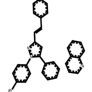 CC(C)c1ccc(-n2nc(C=Cc3ccccc3)cc2-c2ccccc2)cc1.c1ccc2ncccc2c1